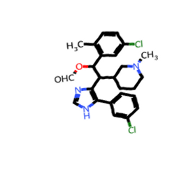 Cc1ccc(Cl)cc1C(OC=O)C(c1nc[nH]c1-c1cccc(Cl)c1)C1CCCN(C)C1